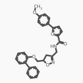 COc1ccc(-c2ccc(C(=O)NCC3=NOC(COc4ccccc4-c4ccccc4)C3)o2)cc1